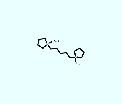 CCCCC[N+]1(CCCCC[N+]2(C)CCCC2)CCCC1